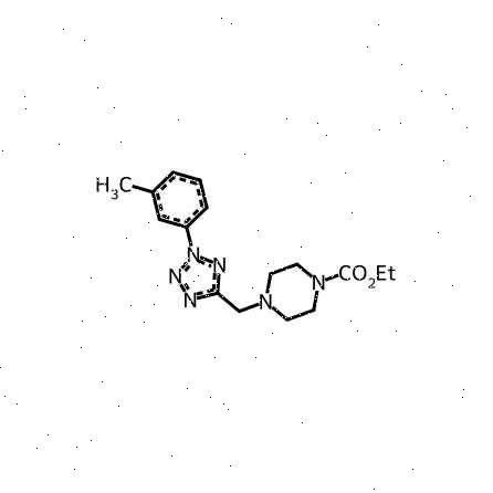 CCOC(=O)N1CCN(Cc2nnn(-c3cccc(C)c3)n2)CC1